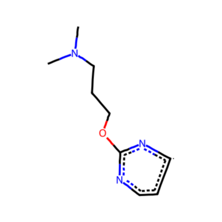 CN(C)CCCOc1n[c]ccn1